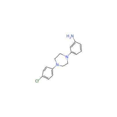 Nc1cccc(N2CCN(c3ccc(Cl)cc3)CC2)c1